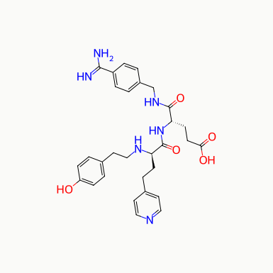 N=C(N)c1ccc(CNC(=O)[C@H](CCC(=O)O)NC(=O)[C@@H](CCc2ccncc2)NCCc2ccc(O)cc2)cc1